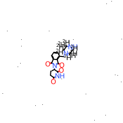 [2H]C1([2H])NC([2H])([2H])C([2H])([2H])N(Cc2cccc3c2C(=O)N(C2CCC(=O)NC2=O)C3=O)C1([2H])[2H]